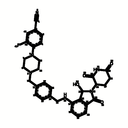 N#Cc1ccc(N2CCN(Cc3ccc(CNc4cccc5c4C(O)N(C4CCC(=O)NC4=O)C5=O)cc3)CC2)c(F)c1